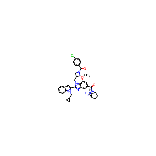 COc1cc(C(=O)N2CC3CCC2[C@@H]3N)cc2nc(-c3cc4ccccc4n3CC3CC3)n(CC3CN(C(=O)c4ccc(Cl)cc4)C3)c12